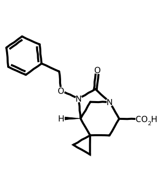 O=C(O)C1CC2(CC2)[C@H]2CN1C(=O)N2OCc1ccccc1